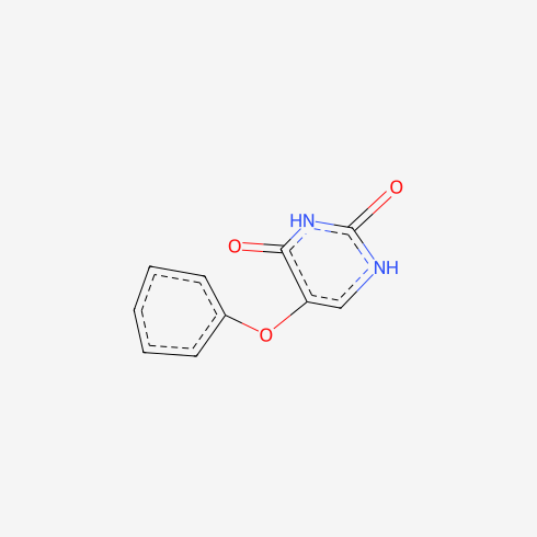 O=c1[nH]cc(Oc2ccccc2)c(=O)[nH]1